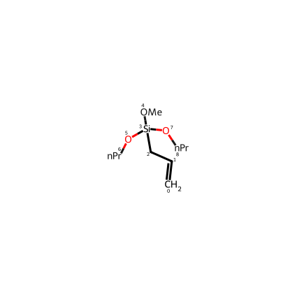 C=CC[Si](OC)(OCCC)OCCC